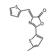 Cc1ccc(C2=N/C(=C\c3cccs3)C(=O)O2)s1